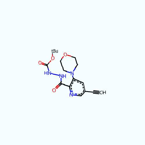 C#Cc1cnc(C(=O)NNC(=O)OC(C)(C)C)c(N2CCOCC2)c1